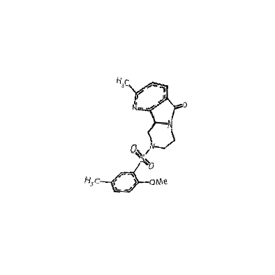 COc1ccc(C)cc1S(=O)(=O)N1CCN2C(=O)c3ccc(C)nc3C2C1